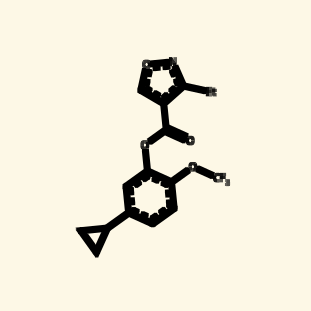 CCc1nocc1C(=O)Oc1cc(C2CC2)ccc1OC(F)(F)F